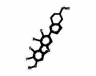 CCCCCC1CCc2cc(-c3cc4oc5cc(OCC)c(F)c(F)c5c4c(F)c3F)ccc2C1